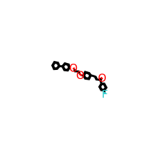 O=C(/C=C/c1ccc(OCCOc2ccc(-c3ccccc3)cc2)cc1)c1ccc(F)cc1